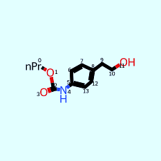 CCCOC(=O)Nc1ccc(CCO)cc1